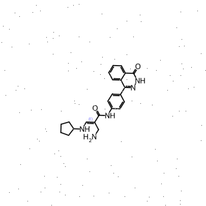 NC/C(=C\NC1CCCC1)C(=O)Nc1ccc(-c2n[nH]c(=O)c3ccccc23)cc1